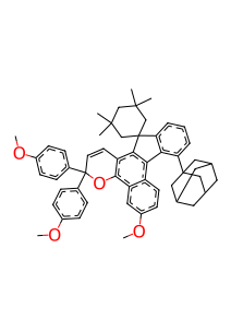 COc1ccc(C2(c3ccc(OC)cc3)C=Cc3c4c(c5ccc(OC)cc5c3O2)-c2c(C35CC6CC(CC(C6)C3)C5)cccc2C42CC(C)(C)CC(C)(C)C2)cc1